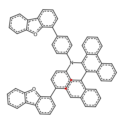 c1ccc2c(-c3c(N(c4ccc(-c5cccc6c5oc5ccccc56)cc4)c4ccc(-c5cccc6c5oc5ccccc56)cc4)c4ccccc4c4ccccc34)cccc2c1